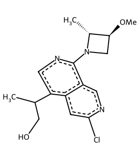 CO[C@H]1CN(c2ncc(C(C)CO)c3cc(Cl)ncc23)[C@@H]1C